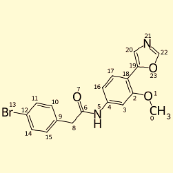 COc1cc(NC(=O)Cc2ccc(Br)cc2)ccc1-c1cnco1